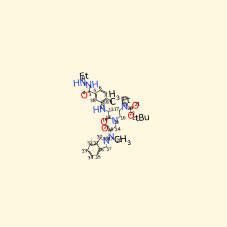 CCNNC(=O)c1ccc(C)c(NCC(=O)N(CCN(CC)C(=O)OC(C)(C)C)CC(=O)N(C)N2Cc3ccccc3C2)c1